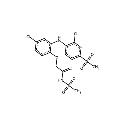 CS(=O)(=O)NC(=O)COc1ccc(Cl)cc1Nc1ccc(S(C)(=O)=O)cc1Cl